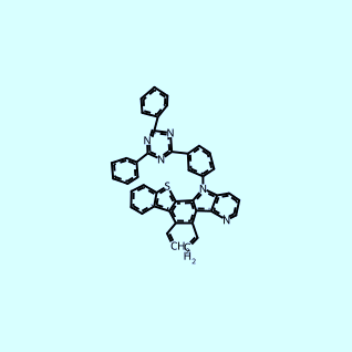 C=Cc1c(C=C)c2c3ncccc3n(-c3cccc(-c4nc(-c5ccccc5)nc(-c5ccccc5)n4)c3)c2c2sc3ccccc3c12